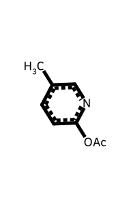 CC(=O)Oc1ccc(C)cn1